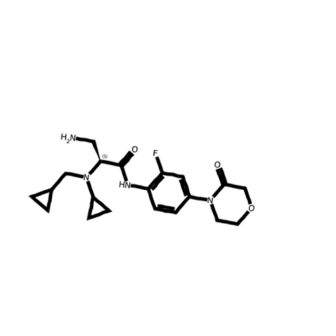 NC[C@@H](C(=O)Nc1ccc(N2CCOCC2=O)cc1F)N(CC1CC1)C1CC1